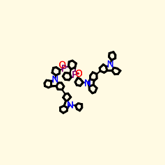 O=P1(c2cccc(-n3c4ccccc4c4cc(-c5ccc6c(c5)c5ccccc5n6-c5ccccc5)ccc43)c2)c2cccc3c2-c2c1cccc2P3(=O)c1cccc(-n2c3ccccc3c3cc(-c4ccc5c(c4)c4ccccc4n5-c4ccccc4)ccc32)c1